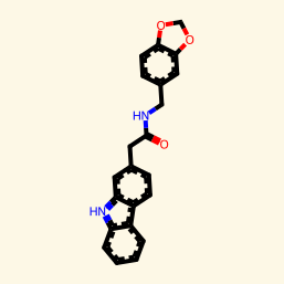 O=C(Cc1ccc2c(c1)[nH]c1ccccc12)NCc1ccc2c(c1)OCO2